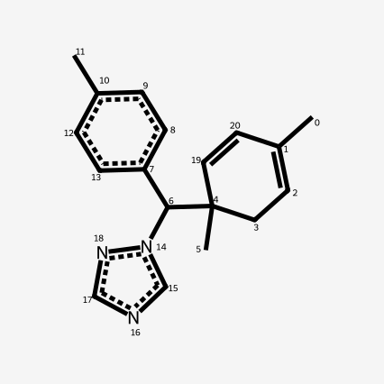 CC1=CCC(C)(C(c2ccc(C)cc2)n2cncn2)C=C1